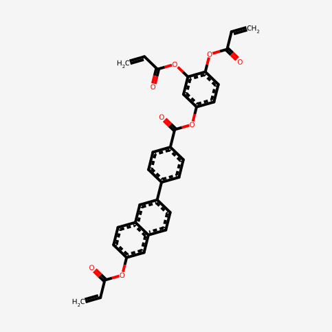 C=CC(=O)Oc1ccc2cc(-c3ccc(C(=O)Oc4ccc(OC(=O)C=C)c(OC(=O)C=C)c4)cc3)ccc2c1